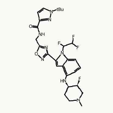 CN1CC[C@@H](Nc2cccc3c2cc(-c2noc(CNC(=O)c4ccn(C(C)(C)C)n4)n2)n3C(F)C(F)F)[C@@H](F)C1